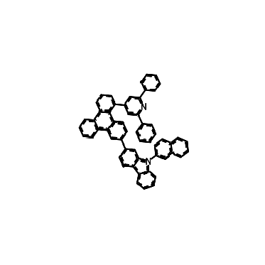 c1ccc(-c2cc(-c3cccc4c5ccccc5c5cc(-c6ccc7c8ccccc8n(-c8ccc9ccccc9c8)c7c6)ccc5c34)cc(-c3ccccc3)n2)cc1